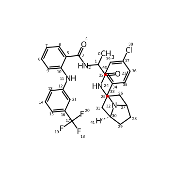 CC(NC(=O)c1ccccc1Nc1cccc(C(F)(F)F)c1)C(=O)NC1CC2CC[C@@H](C1)N2Cc1ccc(Cl)cc1